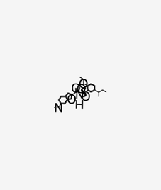 CCOc1ccc(C(C)CC)cc1S(=O)(=O)NC(=O)c1cc2ccc(N(C)C)cc2o1